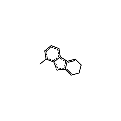 Cc1cccc2c3c(sc12)=CCCC=3